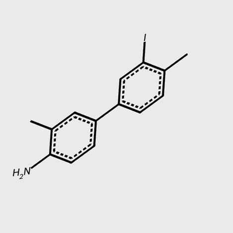 Cc1cc(-c2ccc(C)c(I)c2)ccc1N